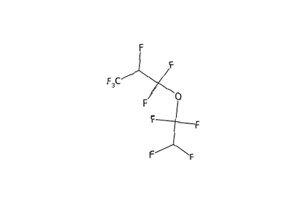 FC(F)C(F)(F)OC(F)(F)C(F)C(F)(F)F